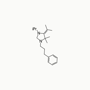 CC(C)=C1N(C(C)C)CN(CCCc2ccccc2)C1(C)C